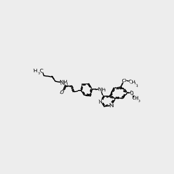 CCCCNC(=O)C=Cc1ccc(Nc2ncnc3cc(OC)c(OC)cc23)cc1